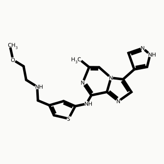 COCCNCc1csc(Nc2nc(C)cn3c(-c4cn[nH]c4)cnc23)c1